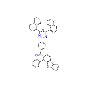 c1ccc2c(-c3nc(-c4ccc(-c5nc6ccccc6c6c5ccc5c7ccccc7sc56)cc4)nc(-c4cccc5ccccc45)n3)cccc2c1